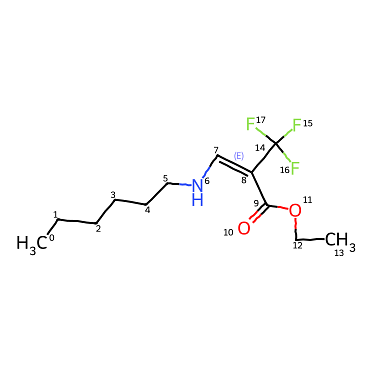 CCCCCCN/C=C(\C(=O)OCC)C(F)(F)F